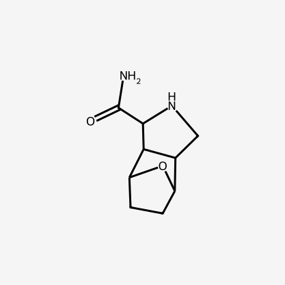 NC(=O)C1NCC2C3CCC(O3)C12